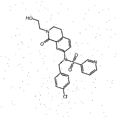 O=C1c2cc(N(Cc3ccc(Cl)cc3)S(=O)(=O)c3cccnc3)ccc2CCN1CCO